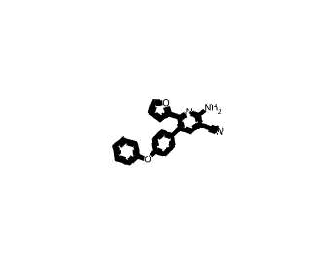 N#Cc1cc(-c2ccc(Oc3ccccc3)cc2)c(-c2ccco2)nc1N